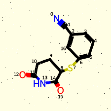 N#Cc1cccc(SC2CCC(=O)NC2=O)c1